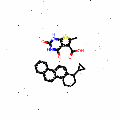 Cc1sc2[nH]c(=O)[nH]c(=O)c2c1C(=O)O.c1ccc2c(c1)ccc1c3c(ccc12)C(C1CC1)CCC3